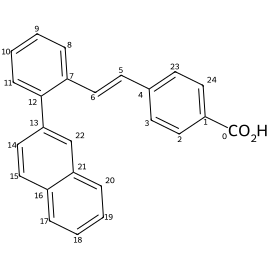 O=C(O)c1ccc(/C=C/c2ccccc2-c2ccc3ccccc3c2)cc1